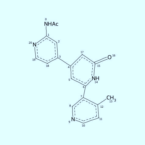 CC(=O)Nc1cc(-c2cc(-c3cnccc3C)[nH]c(=O)c2)ccn1